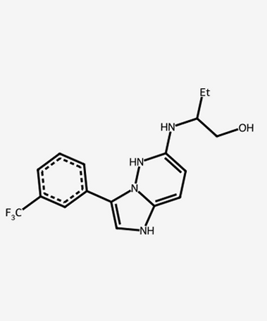 CCC(CO)NC1=CC=C2NC=C(c3cccc(C(F)(F)F)c3)N2N1